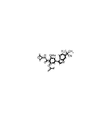 COc1cc(-c2cnc3cc(C(C)(C)C#N)ccn23)cc(OC(F)F)c1C(=O)NC1COC1